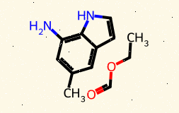 CCOC=O.Cc1cc(N)c2[nH]ccc2c1